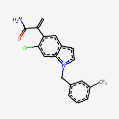 C=C(C(N)=O)c1cc2ccn(Cc3cccc(C(F)(F)F)c3)c2cc1Cl